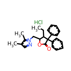 CCC1C(Cn2ncc(C)c2C)OC(=O)C1(c1ccccc1)c1ccccc1.Cl